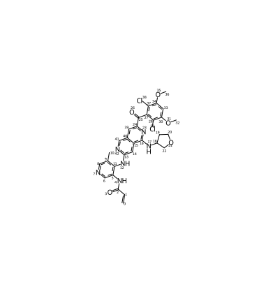 C=CC(=O)Nc1cncc(C)c1Nc1cc2c(NC3CCOC3)nc(C(=O)c3c(Cl)c(OC)cc(OC)c3Cl)cc2cn1